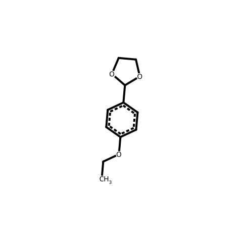 CCOc1ccc(C2OCCO2)cc1